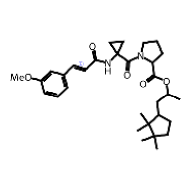 COc1cccc(/C=C/C(=O)NC2(C(=O)N3CCCC3C(=O)OC(C)CC3CCC(C)(C)C3(C)C)CC2)c1